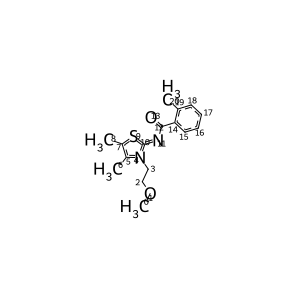 COCCn1c(C)c(C)s/c1=N\C(=O)c1ccccc1C